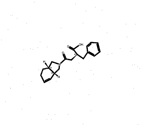 O=C(O)[C@H](CC(=O)N1C[C@H]2CCC=C[C@H]2C1)Cc1ccccc1